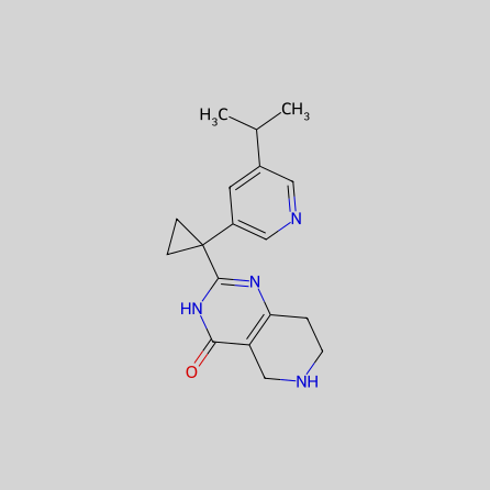 CC(C)c1cncc(C2(c3nc4c(c(=O)[nH]3)CNCC4)CC2)c1